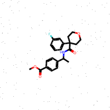 COC(=O)c1ccc(C(C)NC(=O)C2(c3cccc(F)c3)CCOCC2)cc1